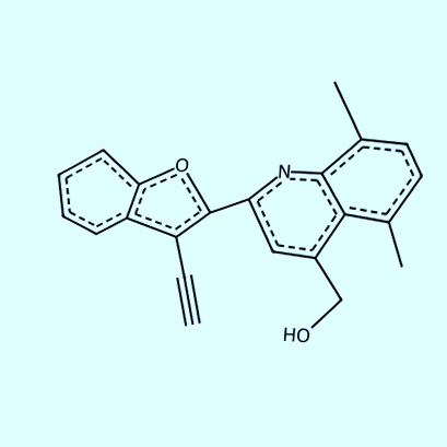 C#Cc1c(-c2cc(CO)c3c(C)ccc(C)c3n2)oc2ccccc12